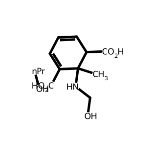 CC1(NCO)C(C(=O)O)=CC=CC1C(=O)O.CCCO